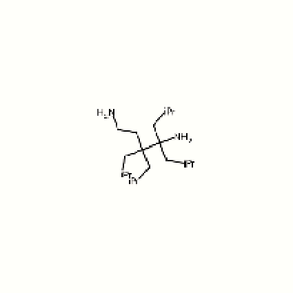 CC(C)CC(N)(CC(C)C)C(CCN)(CC(C)C)CC(C)C